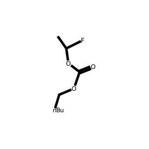 CCCCCOC(=O)OC(C)F